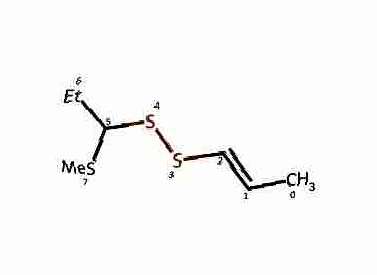 CC=CSSC(CC)SC